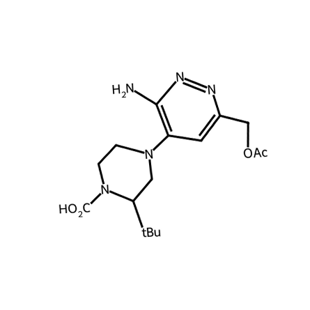 CC(=O)OCc1cc(N2CCN(C(=O)O)C(C(C)(C)C)C2)c(N)nn1